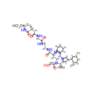 CC(C)(C)C(c1cc(-c2cc(F)ccc2F)cn1Cc1ccccc1)N(CCC(N)C(=O)NCCNC(=O)CNC(=O)CC1SCC(C(=O)O)NC1=O)C(=O)CO